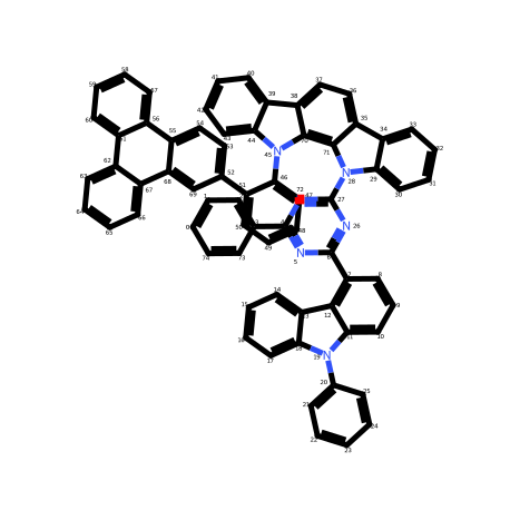 c1ccc(-c2nc(-c3cccc4c3c3ccccc3n4-c3ccccc3)nc(-n3c4ccccc4c4ccc5c6ccccc6n(-c6ccccc6-c6ccc7c8ccccc8c8ccccc8c7c6)c5c43)n2)cc1